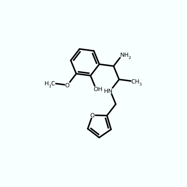 COc1cccc(C(N)C(C)NCc2ccco2)c1O